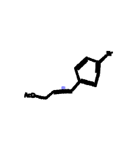 CC(=O)OC/C=C/c1ccc(Br)cc1